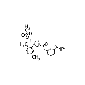 Cc1ccc(C)c([C@@]2(CCOS(C)(=O)=O)CCN(C(=O)Cc3cccc(OC(C)C)c3)C2)c1